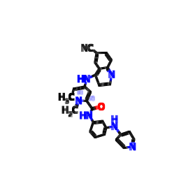 C=N/C(=C\C(=C/C)Nc1ccnc2ccc(C#N)cc12)C(=O)Nc1cccc(Nc2ccncc2)c1